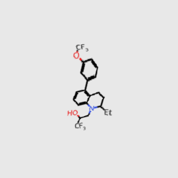 CCC1CCc2c(-c3cccc(OC(F)(F)F)c3)cccc2N1CC(O)C(F)(F)F